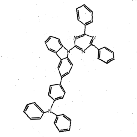 c1ccc(-c2nc(-c3ccccc3)nc(-n3c4ccccc4c4cc(-c5ccc(N(c6ccccc6)c6ccccc6)cc5)ccc43)n2)cc1